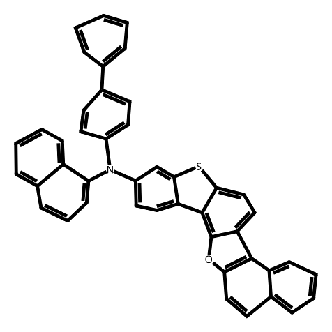 c1ccc(-c2ccc(N(c3ccc4c(c3)sc3ccc5c(oc6ccc7ccccc7c65)c34)c3cccc4ccccc34)cc2)cc1